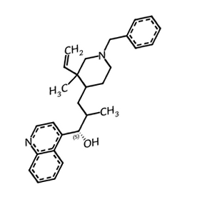 C=CC1(C)CN(Cc2ccccc2)CCC1CC(C)[C@H](O)c1ccnc2ccccc12